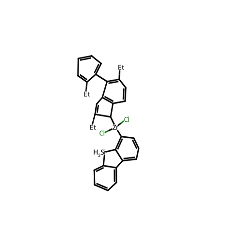 CCC1=Cc2c(ccc(CC)c2-c2ccccc2CC)[CH]1[Zr]([Cl])([Cl])[c]1cccc2c1[SiH2]c1ccccc1-2